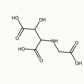 O=C(O)CNC(C(=O)O)C(O)C(=O)O